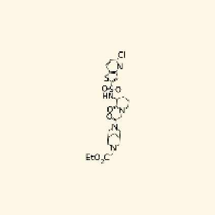 CCOC(=O)CN1CC2CC(C1)CN(C(=O)CN1CCC[C@H](NS(=O)(=O)c3cc4nc(Cl)ccc4s3)C1=O)C2